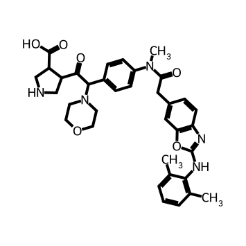 Cc1cccc(C)c1Nc1nc2ccc(CC(=O)N(C)c3ccc(C(C(=O)C4CNCC4C(=O)O)N4CCOCC4)cc3)cc2o1